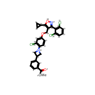 COC(=O)c1cccc(C2CN(c3ccc(OCc4c(-c5c(Cl)cccc5Cl)noc4C4CC4)cc3Cl)C2)c1